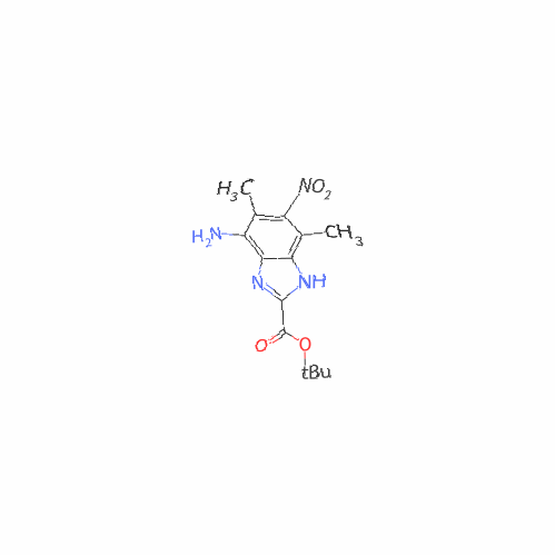 Cc1c([N+](=O)[O-])c(C)c2[nH]c(C(=O)OC(C)(C)C)nc2c1N